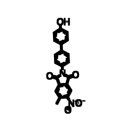 Cc1cc2c(cc1[N+](=O)[O-])C(=O)N(c1ccc(-c3ccc(O)cc3)cc1)C2=O